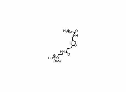 COP(=O)(O)OCCNC(=O)CCC1OCC(CN[C](=O)[Ra][CH3])O1